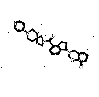 O=C(c1cccc2c1CC[C@@H]2N1COc2c(Cl)cccc2C1)N1CCC2(CCN(c3ccncc3)CC2)C1